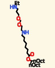 CCCCCCCCC(CCCCCCCC)OC(=O)CCCCCCCNCCOCOCCCNCC